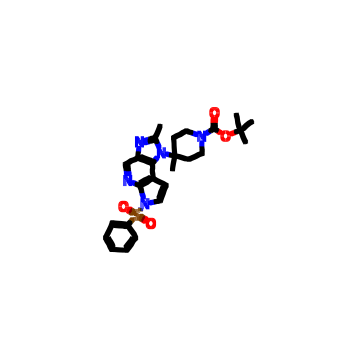 Cc1nc2cnc3c(ccn3S(=O)(=O)c3ccccc3)c2n1C1(C)CCN(C(=O)OC(C)(C)C)CC1